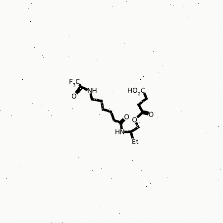 CCC(COC(=O)CCC(=O)O)NC(=O)CCCCCNC(=O)C(F)(F)F